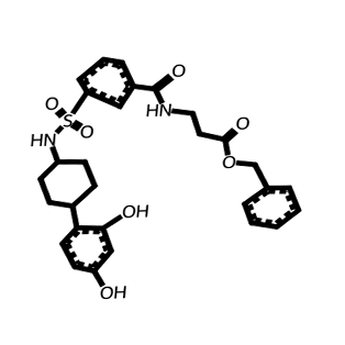 O=C(CCNC(=O)c1cccc(S(=O)(=O)NC2CCC(c3ccc(O)cc3O)CC2)c1)OCc1ccccc1